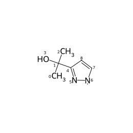 CC(C)(O)C1=N[N]C=C1